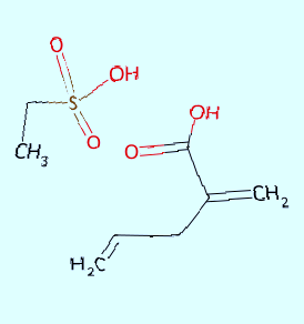 C=CCC(=C)C(=O)O.CCS(=O)(=O)O